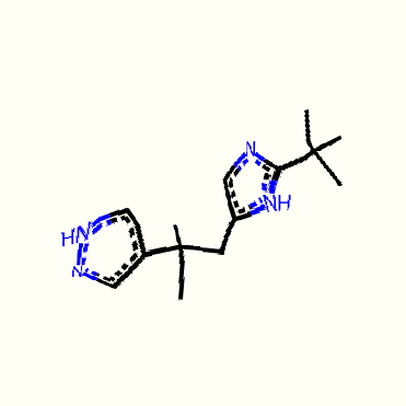 CC(C)(C)c1ncc(CC(C)(C)c2cn[nH]c2)[nH]1